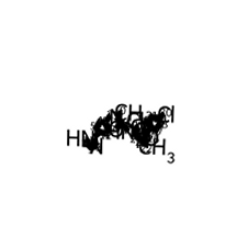 CN(Cc1ccc(C2=NCCN2)cc1)C(=O)CNC(=O)CN(C)S(=O)(=O)c1ccc(Cl)cc1Cl